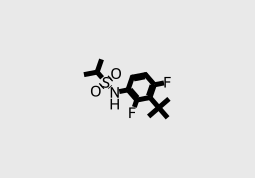 CC(C)S(=O)(=O)Nc1ccc(F)c(C(C)(C)C)c1F